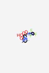 C[C@@H]1C=C[C@@H](C)N2CN1C(=O)c1c(O)c(=O)c(C(=O)NCc3c(F)cc(F)cc3F)cn12